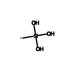 [CH2][Si](O)(O)O